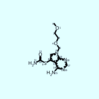 COCCOCn1cc(SC(N)=O)c2c(N)ncnc21